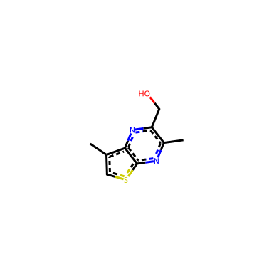 Cc1nc2scc(C)c2nc1CO